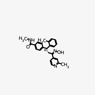 CNC(=O)c1ccc([C@@H](CC(=NO)c2ccnc(C)c2)c2ccccc2C)cc1